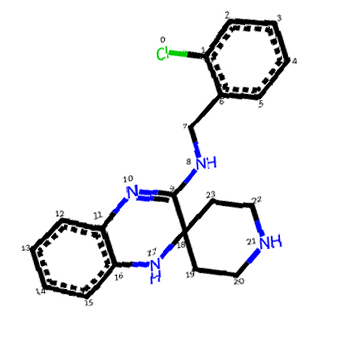 Clc1ccccc1CNC1=Nc2ccccc2NC12CCNCC2